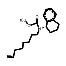 C=CCCCCCCN(C(=O)OC(C)(C)C)[C@H]1CCCc2ccccc21